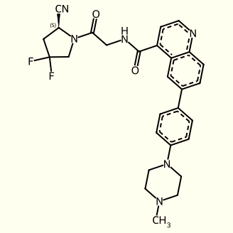 CN1CCN(c2ccc(-c3ccc4nccc(C(=O)NCC(=O)N5CC(F)(F)C[C@H]5C#N)c4c3)cc2)CC1